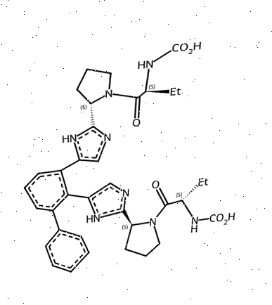 CC[C@H](NC(=O)O)C(=O)N1CCC[C@H]1c1ncc(-c2cccc(-c3ccccc3)c2-c2cnc([C@@H]3CCCN3C(=O)[C@H](CC)NC(=O)O)[nH]2)[nH]1